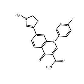 CN1C=C(c2ccc3c(=O)c(C(N)=O)cn(-c4ccc(F)cc4)c3c2)SC1